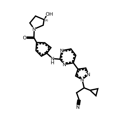 N#CCC(C1CC1)n1cc(-c2ccnc(Nc3ccc(C(=O)N4CC[C@@H](O)C4)cc3)n2)cn1